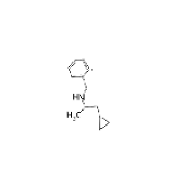 CC(CC1CC1)NCc1[c]cccc1